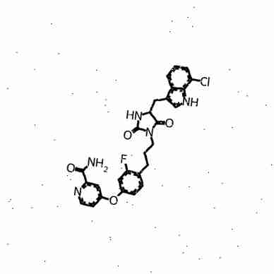 NC(=O)c1cc(Oc2ccc(CCCN3C(=O)NC(Cc4c[nH]c5c(Cl)cccc45)C3=O)c(F)c2)ccn1